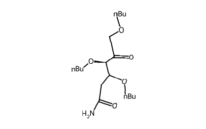 CCCCOCC(=O)[C@H](OCCCC)C(CC(N)=O)OCCCC